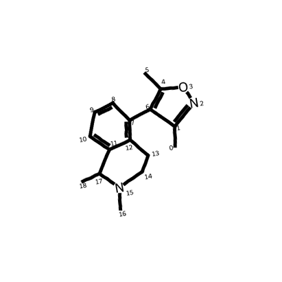 Cc1noc(C)c1-c1cccc2c1CCN(C)C2C